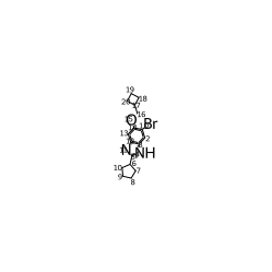 Brc1cc2[nH]c(C3CCCC3)nc2cc1OCC1CCC1